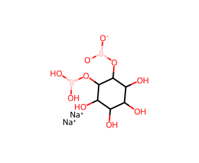 [Na+].[Na+].[O-]B([O-])OC1C(O)C(O)C(O)C(O)C1OB(O)O